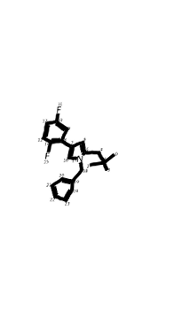 [CH2]C(C)(C)Cc1cc(-c2cc(F)ccc2F)cn1Cc1ccccc1